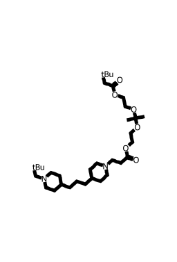 CC(C)(C)CC(=O)OCCOC(C)(C)OCCOC(=O)CCN1CCC(CCCC2CCN(CC(C)(C)C)CC2)CC1